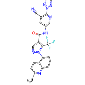 Bc1ccc2c(-n3ncc(C(=O)Nc4cnc(-n5nccn5)c(C#N)c4)c3C(F)(F)F)cccc2n1